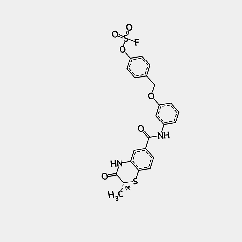 C[C@H]1Sc2ccc(C(=O)Nc3cccc(OCc4ccc(OS(=O)(=O)F)cc4)c3)cc2NC1=O